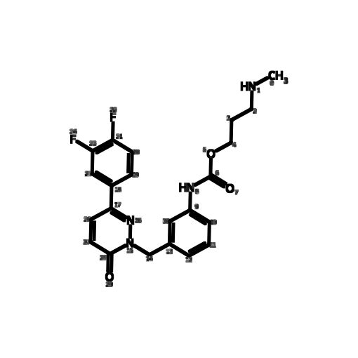 CNCCCOC(=O)Nc1cccc(Cn2nc(-c3ccc(F)c(F)c3)ccc2=O)c1